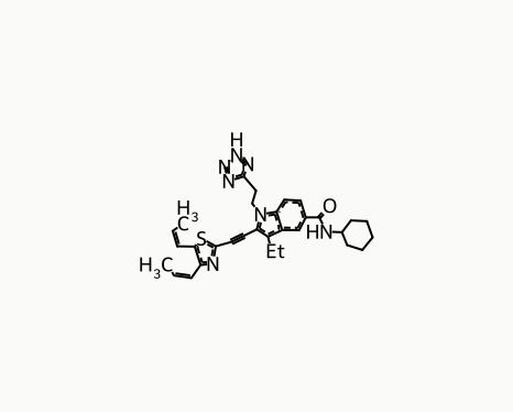 C/C=C\c1nc(C#Cc2c(CC)c3cc(C(=O)NC4CCCCC4)ccc3n2CCc2nn[nH]n2)sc1/C=C\C